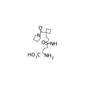 N=S(=O)(CC[C@H](N)C(=O)O)CCC1(C(=O)N2CCCC2)CCC1